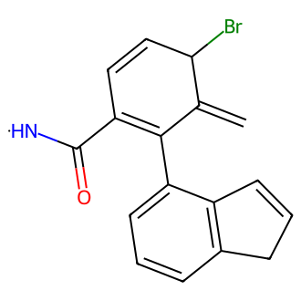 C=C1C(c2cccc3c2C=CC3)=C(C([NH])=O)C=CC1Br